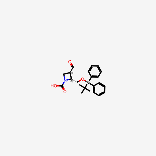 CC(C)(C)[Si](OC[C@H]1[C@H](C=O)CN1C(=O)O)(c1ccccc1)c1ccccc1